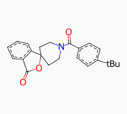 CC(C)(C)c1ccc(C(=O)N2CCC3(CC2)OC(=O)c2ccccc23)cc1